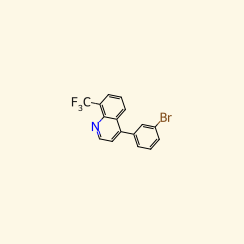 FC(F)(F)c1cccc2c(-c3cccc(Br)c3)ccnc12